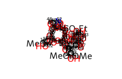 CCOC(=O)CCC(=O)O[C@H]1[C@H](O[C@@H]2[C@@H](C)[C@H](O[C@H]3C[C@@](C)(OC)[C@@H](O)[C@H](C)O3)[C@@H](C)C(=O)O[C@H](CC)[C@@](C)(O)[C@H](O)[C@@H](C)C(=O)[C@H](C)C[C@@]2(C)O)O[C@H](C)C[C@@H]1N(C)C.COc1cc([C@@H]2c3cc4c(cc3C(O[C@@H]3O[C@@H]5CO[C@@H](C)O[C@H]5[C@H](O)[C@H]3O)C3COC(=O)[C@@H]32)OCO4)cc(OC)c1O